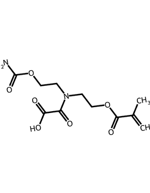 C=C(C)C(=O)OCCN(CCOC(N)=O)C(=O)C(=O)O